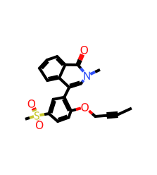 CC#CCOc1ccc(S(C)(=O)=O)cc1-c1cn(C)c(=O)c2ccccc12